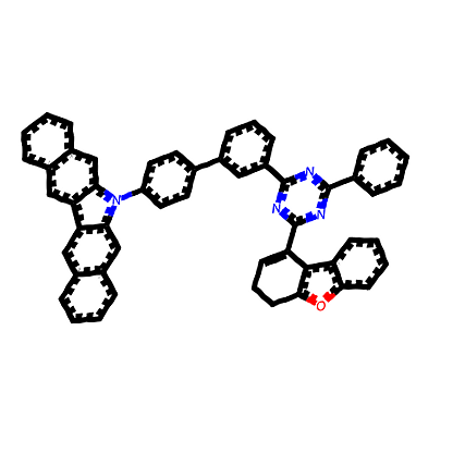 C1=C(c2nc(-c3ccccc3)nc(-c3cccc(-c4ccc(-n5c6cc7ccccc7cc6c6cc7ccccc7cc65)cc4)c3)n2)c2c(oc3ccccc23)CC1